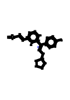 Cc1ccc(/C(=C\CN2CCCC2)c2cccc(C=CC(=O)O)n2)cc1